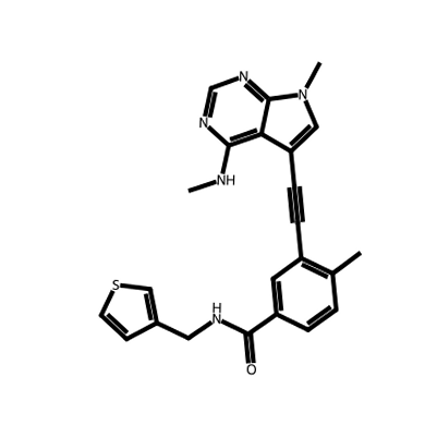 CNc1ncnc2c1c(C#Cc1cc(C(=O)NCc3ccsc3)ccc1C)cn2C